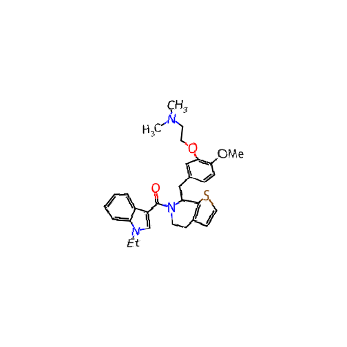 CCn1cc(C(=O)N2CCc3ccsc3C2Cc2ccc(OC)c(OCCN(C)C)c2)c2ccccc21